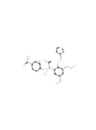 CCCc1cc(CC)cc(C(Nc2ccc(C(=N)N)cc2)C(=O)O)c1OCc1ccoc1